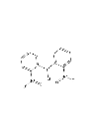 CC(c1ccccc1[N+](=O)[O-])c1ccccc1[N+](=O)[O-]